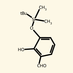 CC(C)(C)[Si](C)(C)Oc1cccc(C=O)c1O